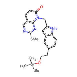 CSc1ncc2ccc(=O)n(Cc3cc4cc(CCO[Si](C)(C)C(C)(C)C)ccc4[nH]3)c2n1